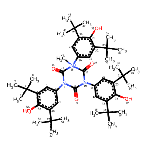 CC(C)(C)c1cc(N2C(=O)N(c3cc(C(C)(C)C)c(O)c(C(C)(C)C)c3)C(=O)[N+](C)(c3cc(C(C)(C)C)c(O)c(C(C)(C)C)c3)C2=O)cc(C(C)(C)C)c1O